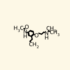 C=CCc1cc(NC(C)=O)ccc1OCCCNC(C)C